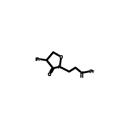 CC(C)NCCN1OCC(C(C)C)C1=O